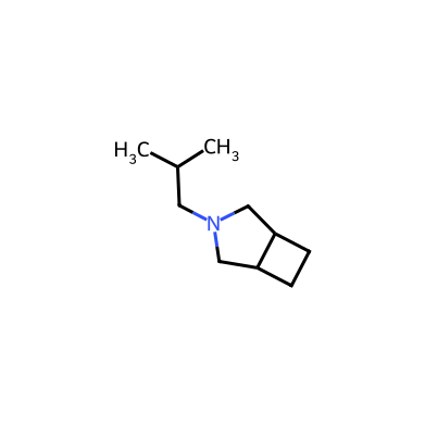 CC(C)CN1CC2CCC2C1